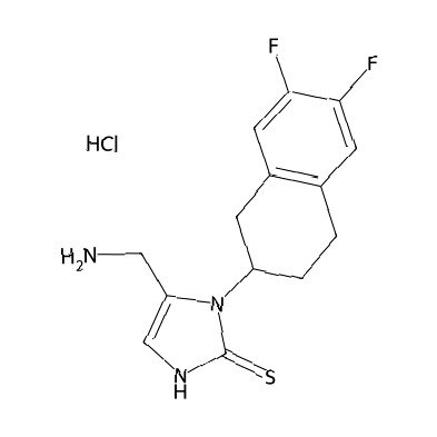 Cl.NCc1c[nH]c(=S)n1C1CCc2cc(F)c(F)cc2C1